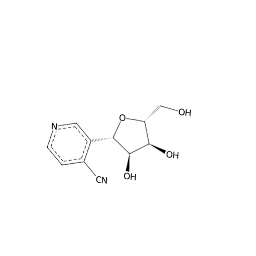 N#Cc1ccncc1[C@@H]1O[C@H](CO)[C@@H](O)[C@H]1O